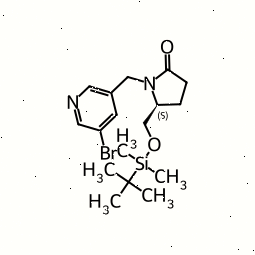 CC(C)(C)[Si](C)(C)OC[C@@H]1CCC(=O)N1Cc1cncc(Br)c1